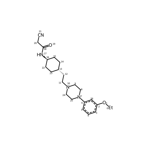 CCOc1cccc(N2CCN(CC[C@H]3CC[C@H](NC(=O)CC#N)CC3)CC2)c1